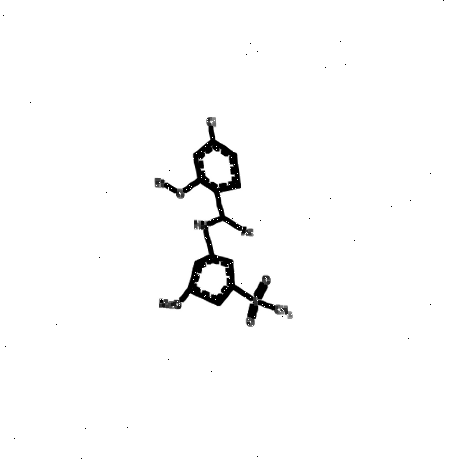 CCOc1cc(Cl)ccc1C(Nc1cc(OC)cc(S(C)(=O)=O)c1)C(C)=O